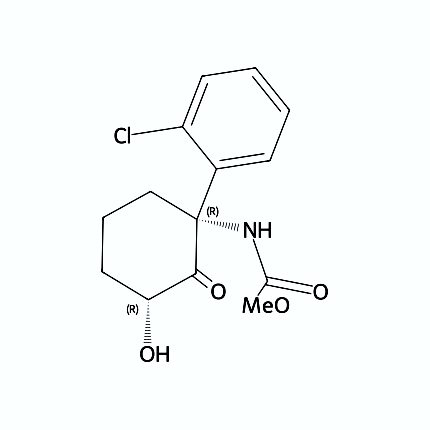 COC(=O)N[C@@]1(c2ccccc2Cl)CCC[C@@H](O)C1=O